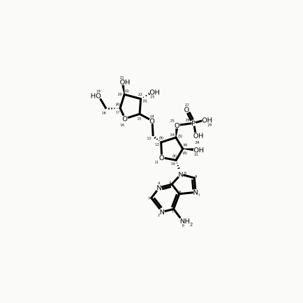 Nc1ncnc2c1ncn2[C@@H]1O[C@H](COC2O[C@H](CO)[C@@H](O)[C@@H]2O)[C@@H](OP(=O)(O)O)[C@H]1O